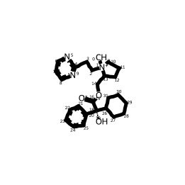 C[N+]1(CCc2ncccn2)CCCC1COC(=O)[C@](O)(c1ccccc1)C1CCCCC1